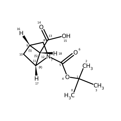 CC(C)(C)OC(=O)N1C[C@H]2C[C@@H]1[C@H]2C(=O)O